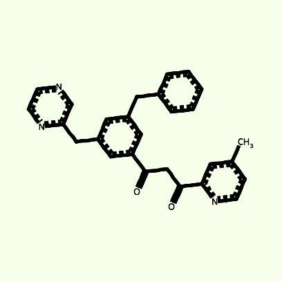 Cc1ccnc(C(=O)CC(=O)c2cc(Cc3ccccc3)cc(Cc3cnccn3)c2)c1